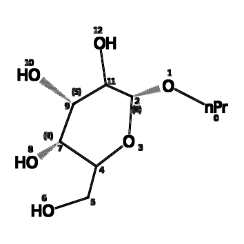 CCCO[C@@H]1OC(CO)[C@H](O)[C@H](O)C1O